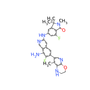 Cc1c(-c2cc3cc(Nc4cc(F)c5c(c4)C(C)(C)N(C)C5=O)ncc3c(N)c2F)cnc2c1NCCO2